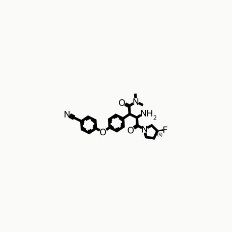 CN(C)C(=O)C(c1ccc(Oc2ccc(C#N)cc2)cc1)C(N)C(=O)N1CC[C@H](F)C1